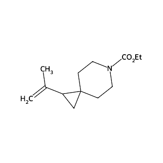 C=C(C)C1CC12CCN(C(=O)OCC)CC2